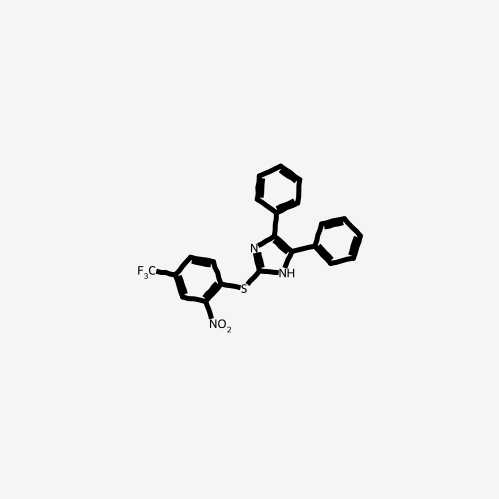 O=[N+]([O-])c1cc(C(F)(F)F)ccc1Sc1nc(-c2ccccc2)c(-c2ccccc2)[nH]1